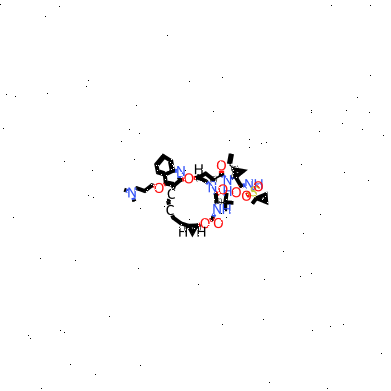 C=C[C@@H]1C[C@]1(NC(=O)[C@@H]1C[C@@H]2CN1C(=O)[C@H](C(C)(C)C)NC(=O)O[C@@H]1C[C@H]1CCCCCc1c(nc3ccccc3c1OCCCN(C)C)O2)C(=O)NS(=O)(=O)C1(C)CC1